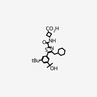 CC(C)(C)c1cc(-c2sc(C(=O)N[C@H]3C[C@H](C(=O)O)C3)nc2CC2CCCCC2)cc(C(C)(C)O)c1